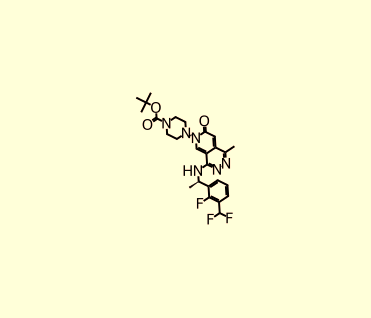 Cc1nnc(N[C@H](C)c2cccc(C(F)F)c2F)c2cn(N3CCN(C(=O)OC(C)(C)C)CC3)c(=O)cc12